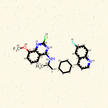 C[C@H](C[C@H]1CC[C@@H](c2ccnc3ccc(F)cc32)CC1)Nc1nc(Cl)nc2c(OC(F)(F)F)cccc12